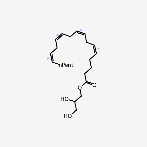 CCCCC/C=C\C/C=C\C/C=C\C/C=C\CCCC(=O)OCC(O)CO